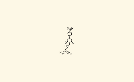 CN(C)CCNC=C1C(=O)CC(c2ccc([N+](=O)[O-])cc2)CC1=O